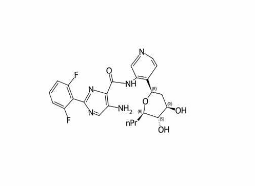 CCC[C@H]1O[C@@H](c2ccncc2NC(=O)c2nc(-c3c(F)cccc3F)ncc2N)C[C@@H](O)[C@@H]1O